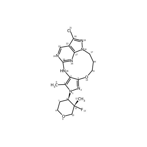 Cc1c2c(nn1[C@@H]1CCOC[C@@]1(C)F)OCCCn1nc(Cl)c3cnc(nc31)N2